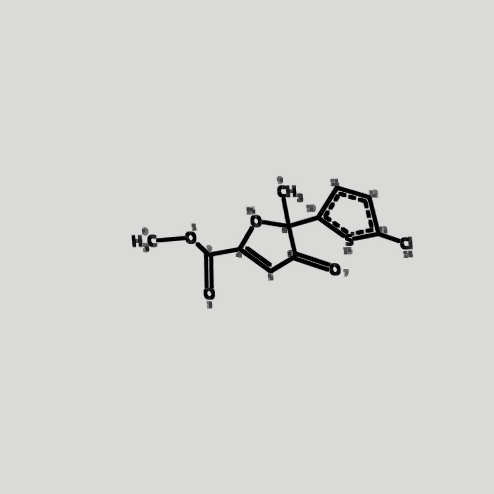 COC(=O)C1=CC(=O)C(C)(c2ccc(Cl)s2)O1